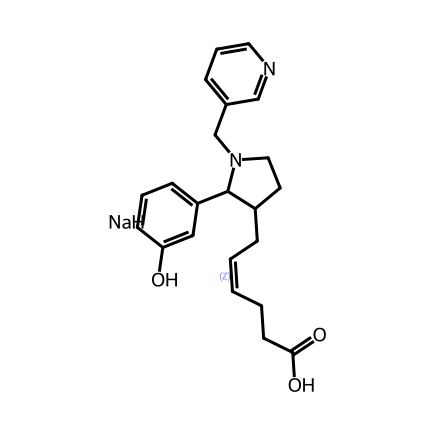 O=C(O)CC/C=C\CC1CCN(Cc2cccnc2)C1c1cccc(O)c1.[NaH]